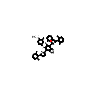 Cc1cc(Oc2c(Oc3ccccc3)c(-c3ccc(-c4c(C)cccc4C)s3)c3nsnc3c2-c2ccc(-c3c(C)cccc3C)s2)ccc1C(=O)O